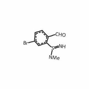 CNS(=N)c1cc(Br)ccc1C=O